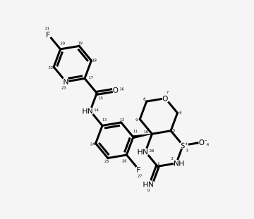 N=C1N[S+]([O-])C2COCC[C@@]2(c2cc(NC(=O)c3ccc(F)cn3)ccc2F)N1